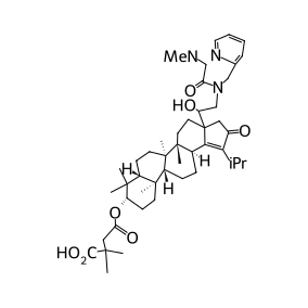 CNCC(=O)N(Cc1ccccn1)CC(O)C12CC[C@]3(C)[C@H](CC[C@@H]4[C@@]5(C)CC[C@H](OC(=O)CC(C)(C)C(=O)O)C(C)(C)[C@@H]5CC[C@]43C)C1=C(C(C)C)C(=O)C2